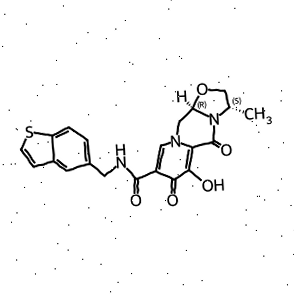 C[C@H]1CO[C@@H]2Cn3cc(C(=O)NCc4ccc5sccc5c4)c(=O)c(O)c3C(=O)N12